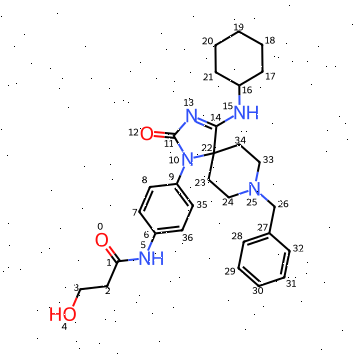 O=C(CCO)Nc1ccc(N2C(=O)N=C(NC3CCCCC3)C23CCN(Cc2ccccc2)CC3)cc1